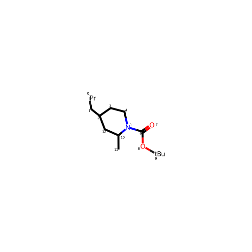 CC(C)CC1CCN(C(=O)OC(C)(C)C)C(C)C1